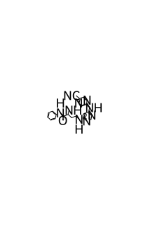 N#Cc1cnc(Nc2cc(NCCC(N)C(=O)Nc3ccccc3)ncn2)cn1